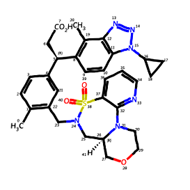 Cc1ccc([C@@H](CC(=O)O)c2ccc3c(nnn3C3CC3)c2C)cc1CN1C[C@@H]2COCCN2c2ncccc2S1(=O)=O